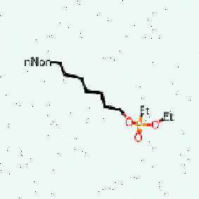 CCCCCCCCCCCCCCCCOP(=O)(CC)OCC